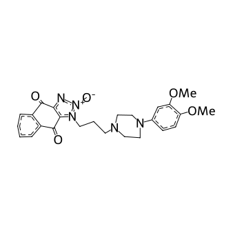 COc1ccc(N2CCN(CCCn3c4c(n[n+]3[O-])C(=O)c3ccccc3C4=O)CC2)cc1OC